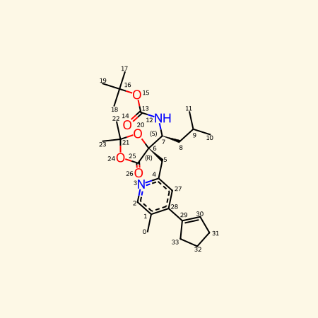 Cc1cnc(C[C@]2([C@H](CC(C)C)NC(=O)OC(C)(C)C)OC(C)(C)OC2=O)cc1C1=CCCC1